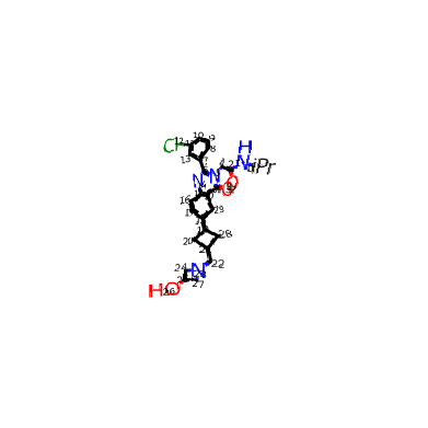 CC(C)NC(=O)Cn1c(-c2cccc(Cl)c2)nc2ccc(C3CC(CN4CC(O)C4)C3)cc2c1=O